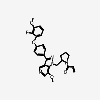 C=CC(=O)N1CCCC1Cn1nc(-c2ccc(Oc3cccc(OC)c3F)cc2)c2cncc(OC)c21